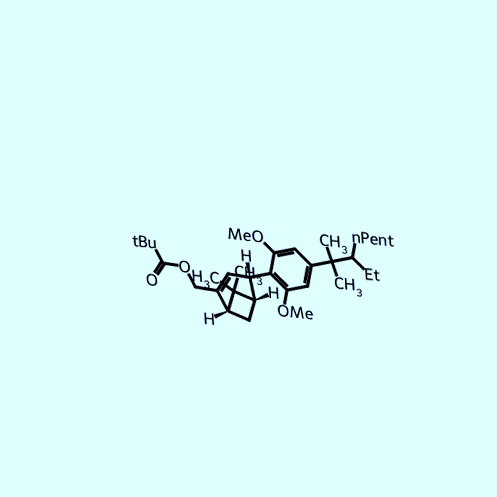 CCCCCC(CC)C(C)(C)c1cc(OC)c([C@H]2C=C(COC(=O)C(C)(C)C)[C@H]3C[C@@H]2C3(C)C)c(OC)c1